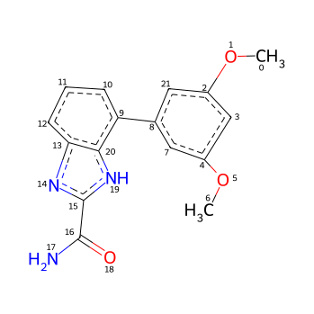 COc1cc(OC)cc(-c2cccc3nc(C(N)=O)[nH]c23)c1